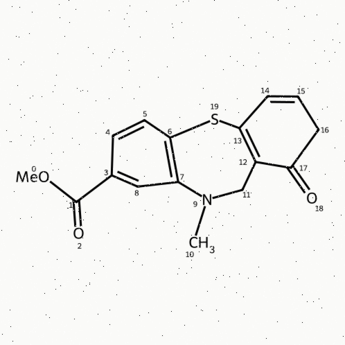 COC(=O)c1ccc2c(c1)N(C)CC1=C(C=CCC1=O)S2